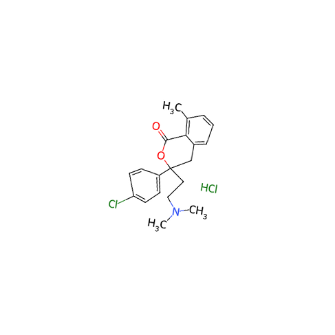 Cc1cccc2c1C(=O)OC(CCN(C)C)(c1ccc(Cl)cc1)C2.Cl